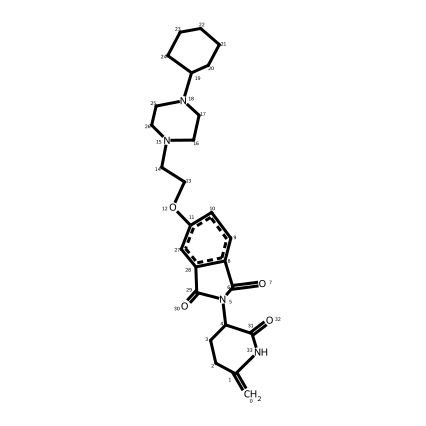 C=C1CCC(N2C(=O)c3ccc(OCCN4CCN(C5CCCCC5)CC4)cc3C2=O)C(=O)N1